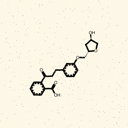 O=C(O)c1ccccc1C(=O)CCc1cccc(OC[C@@H]2C[C@@H](O)CO2)c1